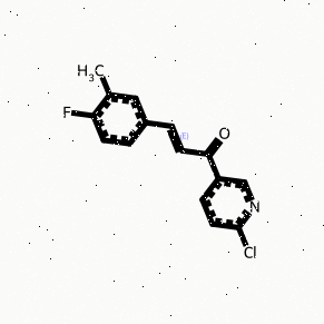 Cc1cc(/C=C/C(=O)c2ccc(Cl)nc2)ccc1F